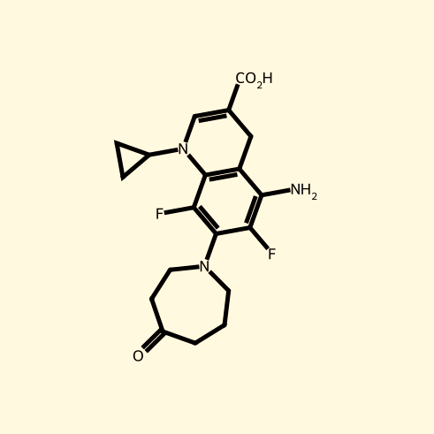 Nc1c(F)c(N2CCCC(=O)CC2)c(F)c2c1CC(C(=O)O)=CN2C1CC1